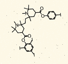 CN1C(C)(C)CC(C(=O)Oc2ccc(I)cc2)CC1(C)CCC1(C)CC(C(=O)Oc2c(I)cc(I)cc2I)CC(C)(C)N1C